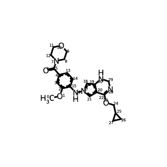 COc1cc(C(=O)N2CCOCC2)ccc1Nn1cc2c(c1)C(OCC1CC1)=NCN2